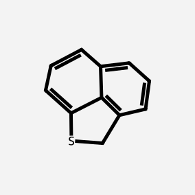 c1cc2c3c(cccc3c1)SC2